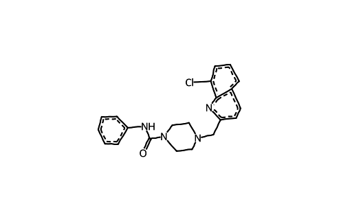 O=C(Nc1ccccc1)N1CCN(Cc2ccc3cccc(Cl)c3n2)CC1